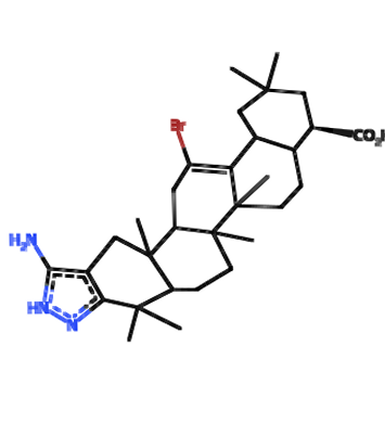 CC1(C)CC2C3=C(Br)CC4C5(C)Cc6c(n[nH]c6N)C(C)(C)C5CCC4(C)C3(C)CCC2[C@H](C(=O)O)C1